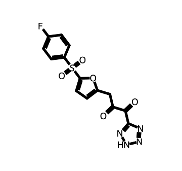 O=C(Cc1ccc(S(=O)(=O)c2ccc(F)cc2)o1)C(=O)c1nn[nH]n1